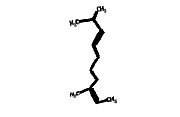 CC=C(C)CCCC=C[C](C)C